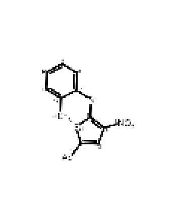 CC(=O)c1cc([N+](=O)[O-])c(Sc2ccccc2C(F)(F)F)s1